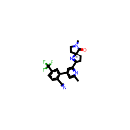 Cc1cc(-c2cc(C(F)(F)F)ccc2C#N)cc(C2=N[C@]3(CC2)CCN(C)C3=O)n1